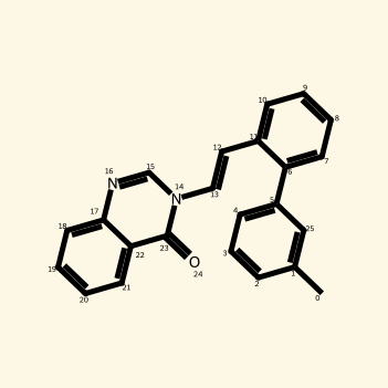 Cc1cccc(-c2ccccc2C=Cn2cnc3ccccc3c2=O)c1